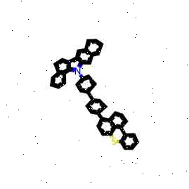 c1ccc2c(c1)Sc1ccc(-c3ccc(-c4ccc(-n5c6cc7ccccc7cc6c6ccc7ccccc7c65)cc4)cc3)c3cccc-2c13